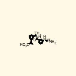 CC(NC(=O)c1cccc(NC=NN)c1)c1cccc(C2CC2C(=O)O)c1